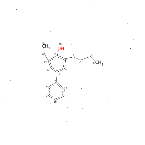 CCCCc1cc(-c2ccccc2)cc(CC)c1O